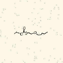 C[CH]OC(=O)OCCOCCCC